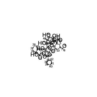 CC(=O)NC1CC(C(C)=O)CC(OC2OC(CO)C(O)C(O[C@@H](CC3CCCCC3)C(=O)O)C2OC(=O)c2ccccc2)C1OC1OC(C)C(O)C(O)C1O